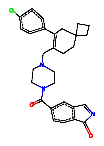 O=C1N=Cc2cc(C(=O)N3CCN(CC4=C(c5ccc(Cl)cc5)CC5(CCC5)CC4)CC3)ccc21